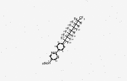 CCCCCCCCCc1cnc(-c2ccc(C(F)(F)C(F)(F)C(F)(F)C(F)(F)C(F)(F)C(F)(F)C(F)(F)C(F)(F)F)cc2)nc1